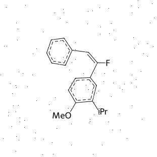 COc1ccc(/C(F)=C\c2ccccc2)cc1C(C)C